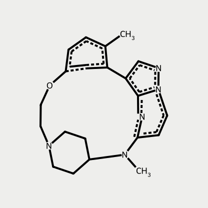 Cc1ccc2cc1-c1cnn3ccc(nc13)N(C)C1CCN(CCO2)CC1